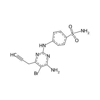 C#CCc1nc(Nc2ccc(S(N)(=O)=O)cc2)nc(N)c1Br